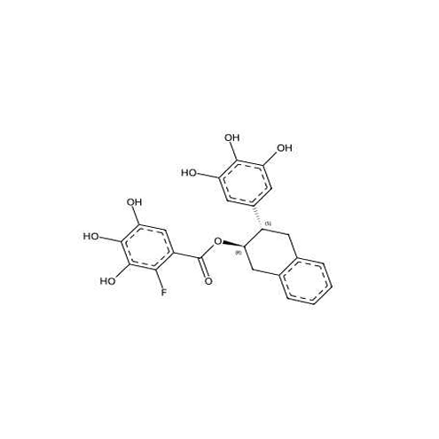 O=C(O[C@@H]1Cc2ccccc2C[C@H]1c1cc(O)c(O)c(O)c1)c1cc(O)c(O)c(O)c1F